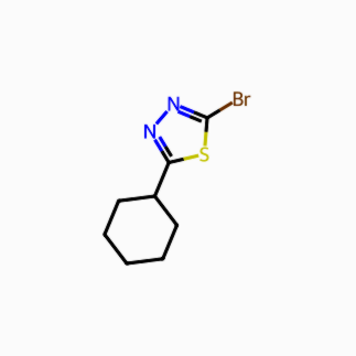 Brc1nnc(C2CCCCC2)s1